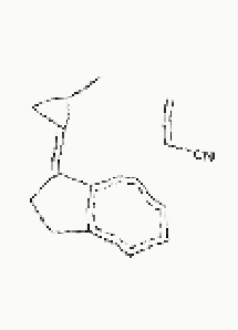 C=CC#N.CC1CC1=C1CCc2ccccc21